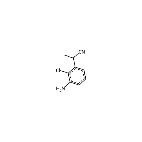 CC(C#N)c1cccc(N)c1Cl